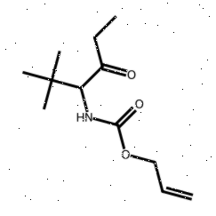 C=CCOC(=O)NC(C(=O)CC)C(C)(C)C